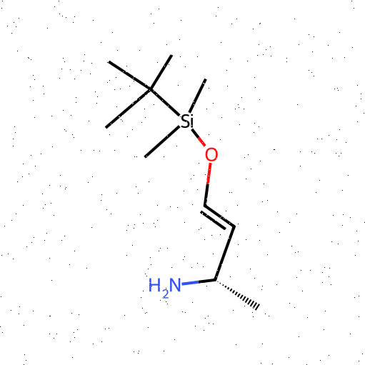 C[C@H](N)C=CO[Si](C)(C)C(C)(C)C